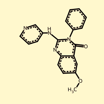 COc1ccc2nc(Nc3cccnc3)n(-c3ccccc3)c(=O)c2c1